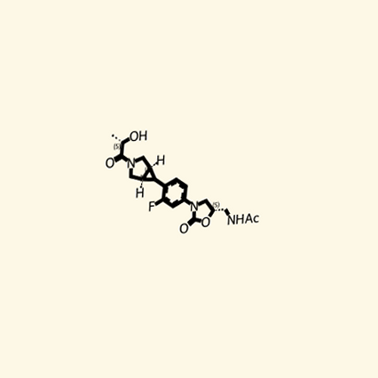 CC(=O)NC[C@H]1CN(c2ccc(C3[C@H]4CN(C(=O)[C@H](C)O)C[C@@H]34)c(F)c2)C(=O)O1